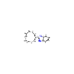 c1ccc2c(c1)[N]C(C1CCCCCCCCC1)=N2